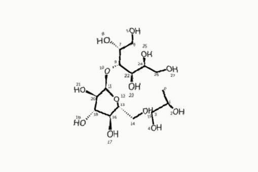 CC(O)CO.OC[C@@H](O)[C@@H](O[C@H]1O[C@H](CO)[C@@H](O)[C@H](O)[C@H]1O)[C@H](O)[C@@H](O)CO